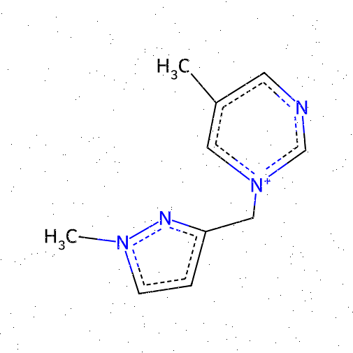 Cc1cnc[n+](Cc2ccn(C)n2)c1